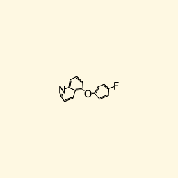 Fc1ccc(Oc2cccc3ncccc23)cc1